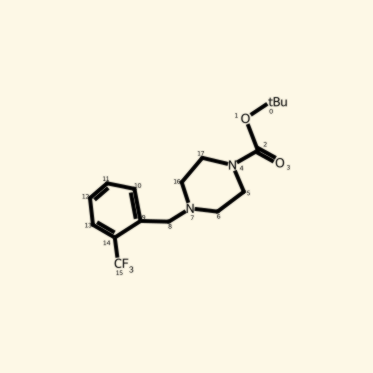 CC(C)(C)OC(=O)N1CCN(Cc2ccccc2C(F)(F)F)CC1